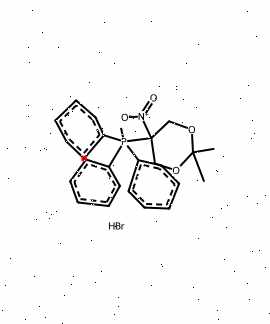 Br.CC1(C)OCC([N+](=O)[O-])(P(C)(c2ccccc2)(c2ccccc2)c2ccccc2)CO1